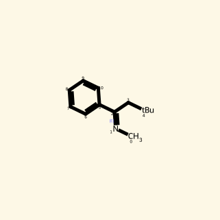 C/N=C(\CC(C)(C)C)c1ccccc1